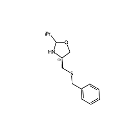 CC(C)C1N[C@H](CSCc2ccccc2)CO1